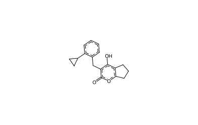 O=c1oc2c(c(O)c1Cc1ccccc1C1CC1)CCC2